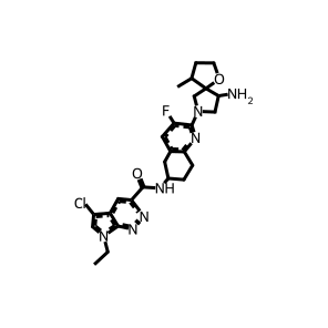 CCn1cc(Cl)c2cc(C(=O)NC3CCc4nc(N5CC(N)C6(C5)OCCC6C)c(F)cc4C3)nnc21